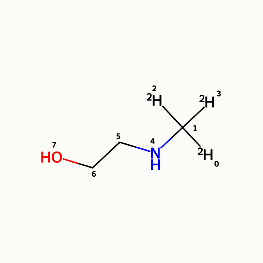 [2H]C([2H])([2H])NCCO